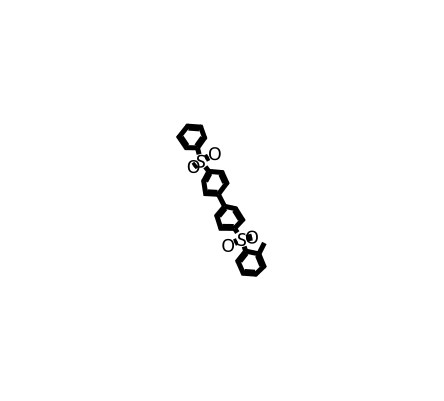 Cc1ccccc1S(=O)(=O)c1ccc(-c2ccc(S(=O)(=O)c3ccccc3)cc2)cc1